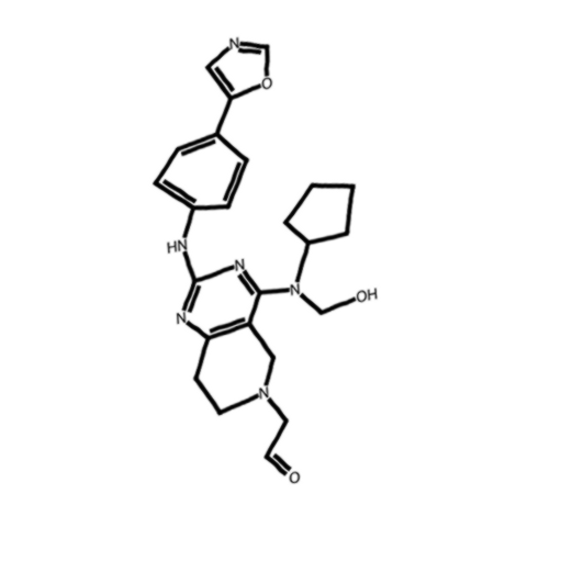 O=CCN1CCc2nc(Nc3ccc(-c4cnco4)cc3)nc(N(CO)C3CCCC3)c2C1